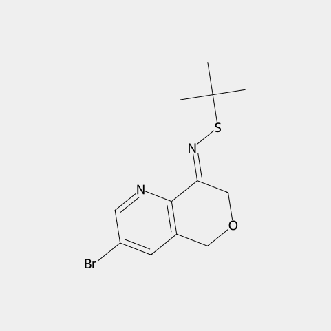 CC(C)(C)S/N=C1\COCc2cc(Br)cnc21